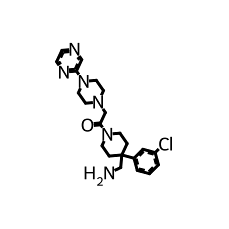 NCC1(c2cccc(Cl)c2)CCN(C(=O)CN2CCN(c3cnccn3)CC2)CC1